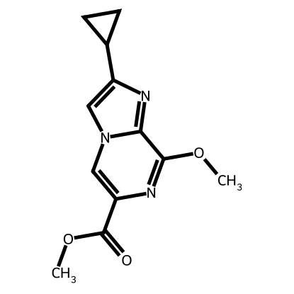 COC(=O)c1cn2cc(C3CC3)nc2c(OC)n1